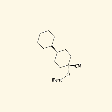 CCCC(C)O[C@]1(C#N)CC[C@@H](C2CCCCC2)CC1